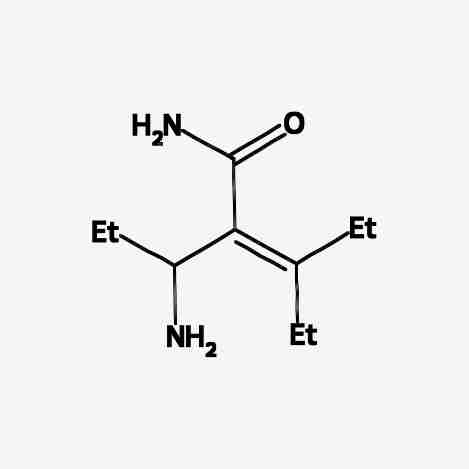 CCC(CC)=C(C(N)=O)C(N)CC